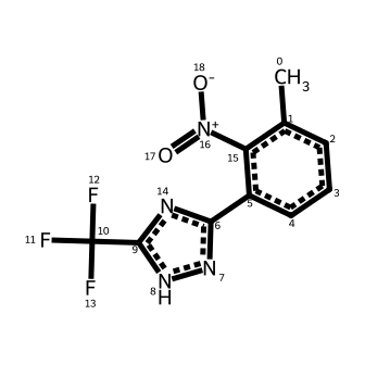 Cc1cccc(-c2n[nH]c(C(F)(F)F)n2)c1[N+](=O)[O-]